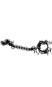 CO[C@H]1CC2CCCC(O2)C(=O)C(=O)N2CCCC[C@H]2C(=O)O[C@H](CC[C@H]2CC[C@H](OC(=O)N3CCN(CCOCCOCCOCCOCCOCCOCCC(=O)N4CCc5cc(CNc6ncnc(N)c6C(=N)c6ccc7oc(N)nc7c6)ccc5C4)CC3)CC2)CC[C@H](C)/C=C(\C)[C@@H](O)CC(=O)[C@H](C)C[C@H](C)/C=C/C=C/C=C/1C